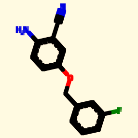 N#Cc1cc(OCc2cccc(F)c2)ccc1N